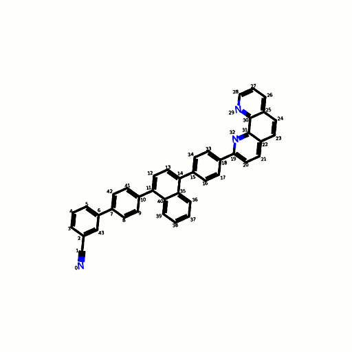 N#Cc1cccc(-c2ccc(-c3ccc(-c4ccc(-c5ccc6ccc7cccnc7c6n5)cc4)c4ccccc34)cc2)c1